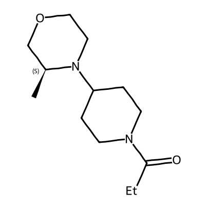 CCC(=O)N1CCC(N2CCOC[C@@H]2C)CC1